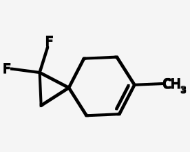 CC1=CCC2(CC1)CC2(F)F